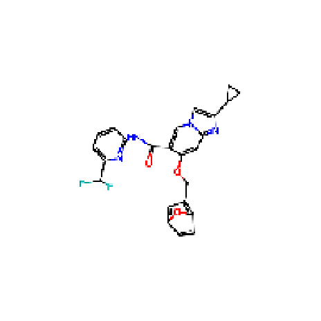 O=C(Nc1cccc(C(F)F)n1)c1cn2cc(C3CC3)nc2cc1OCc1cc2ccc1o2